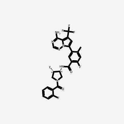 Cc1cc(F)c(C(=O)N[C@@H]2CN(C(=O)c3ccccc3F)C[C@@H]2F)cc1-c1cc(C(F)(F)F)c2c(N)ncnn12